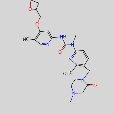 CN1CCN(Cc2ccc(N(C)C(=O)Nc3cc(OCC4CCO4)c(C#N)cn3)nc2C=O)C(=O)C1